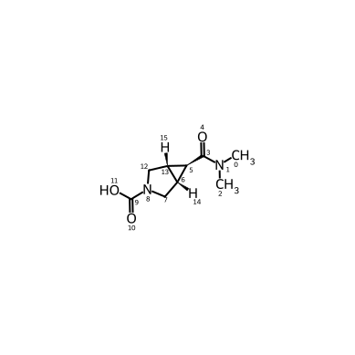 CN(C)C(=O)[C@H]1[C@@H]2CN(C(=O)O)C[C@@H]21